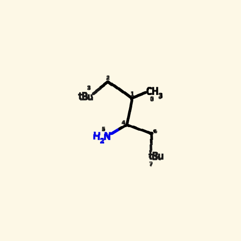 CC(CC(C)(C)C)C(N)CC(C)(C)C